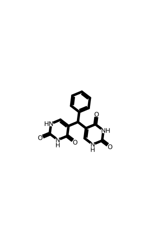 O=c1[nH]cc(C(c2ccccc2)c2c[nH]c(=O)[nH]c2=O)c(=O)[nH]1